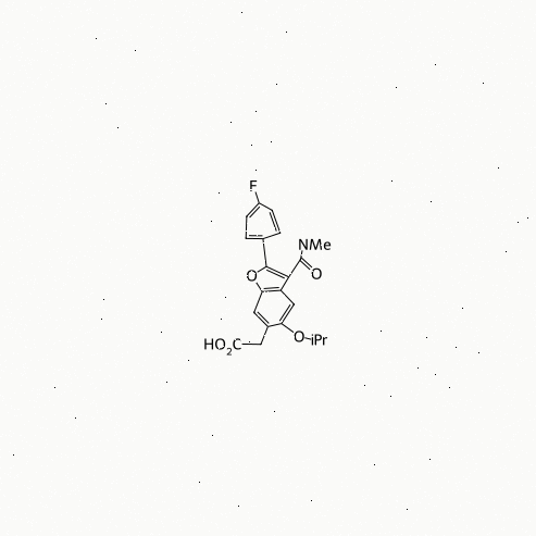 CNC(=O)c1c(-c2ccc(F)cc2)oc2cc(CC(=O)O)c(OC(C)C)cc12